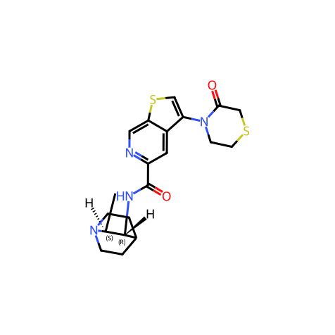 C[C@H]1[C@H](NC(=O)c2cc3c(N4CCSCC4=O)csc3cn2)C2CCN1CC2